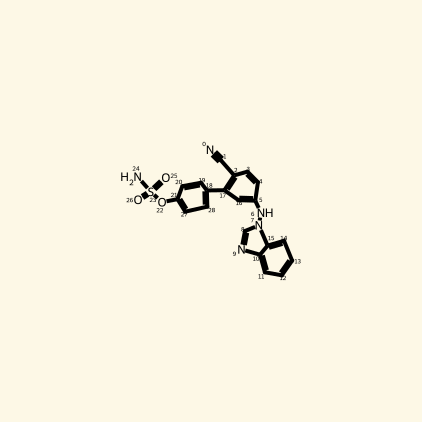 N#Cc1ccc(Nn2cnc3ccccc32)cc1-c1ccc(OS(N)(=O)=O)cc1